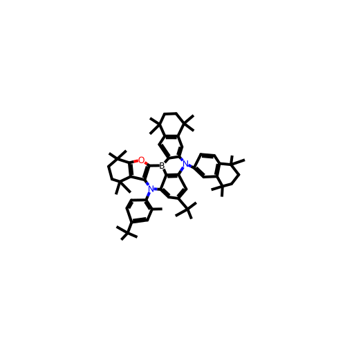 Cc1cc(C(C)(C)C)ccc1N1c2cc(C(C)(C)C)cc3c2B(c2cc4c(cc2N3c2ccc3c(c2)C(C)(C)CCC3(C)C)C(C)(C)CCC4(C)C)c2oc3c(c21)C(C)(C)CCC3(C)C